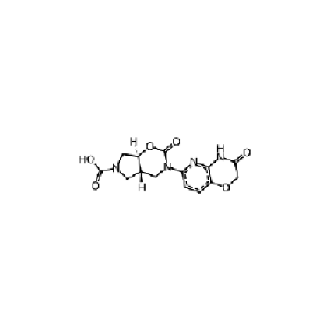 O=C1COc2ccc(N3C[C@@H]4CN(C(=O)O)C[C@H]4OC3=O)nc2N1